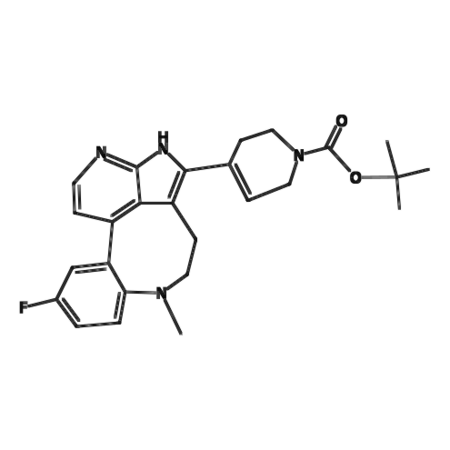 CN1CCc2c(C3=CCN(C(=O)OC(C)(C)C)CC3)[nH]c3nccc(c23)-c2cc(F)ccc21